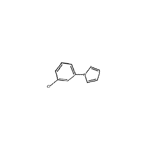 Clc1cccc(-n2[c]ccc2)c1